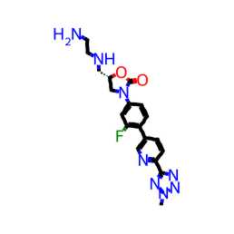 Cn1nnc(-c2ccc(-c3ccc(N4C[C@H](CNCCN)OC4=O)cc3F)cn2)n1